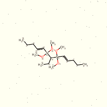 CCCC=C[Si](OC)(OC)C(CC)[Si](C=CCCC)(OC)OC